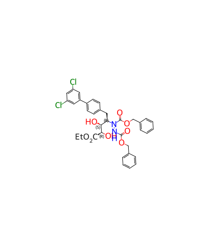 CCOC(=O)[C@H](O)[C@@H](O)[C@@H](Cc1ccc(-c2cc(Cl)cc(Cl)c2)cc1)N(NC(=O)OCc1ccccc1)C(=O)OCc1ccccc1